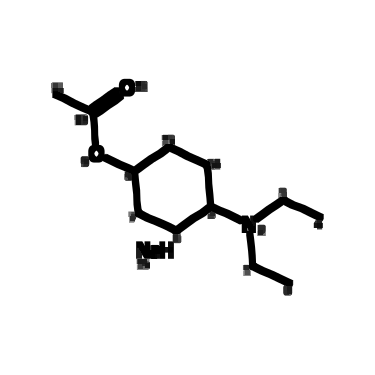 CCN(CC)C1CCC(OC(C)=O)CC1.[NaH]